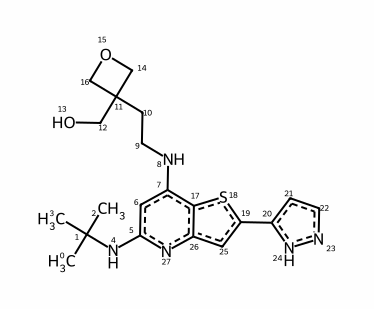 CC(C)(C)Nc1cc(NCCC2(CO)COC2)c2sc(-c3ccn[nH]3)cc2n1